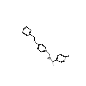 CC(NCc1ccc(OCc2ccccc2)cc1)c1ccc(F)cc1